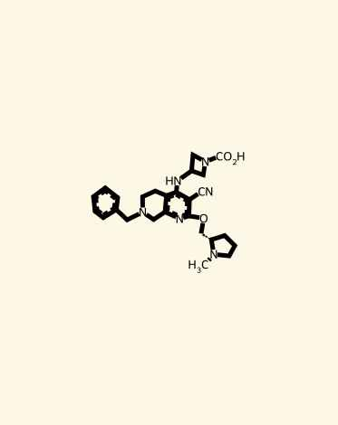 CN1CCC[C@H]1COc1nc2c(c(NC3CN(C(=O)O)C3)c1C#N)CCN(Cc1ccccc1)C2